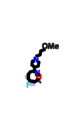 COCCCCN1CCC(/C2=N/O[C@H](C)/C=C(F)\C=C/C2)CC1